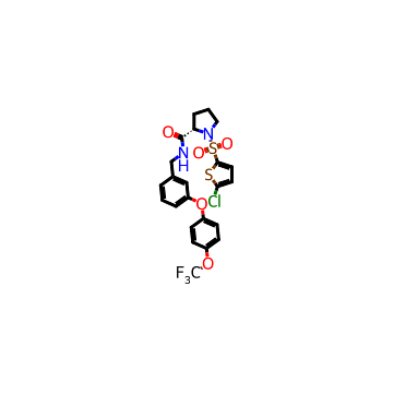 O=C(NCc1cccc(Oc2ccc(OC(F)(F)F)cc2)c1)[C@@H]1CCCN1S(=O)(=O)c1ccc(Cl)s1